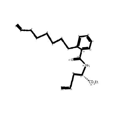 C=CCCCCCCc1ccccc1C(=O)N[C@@H](CC=C)C(=O)OCC